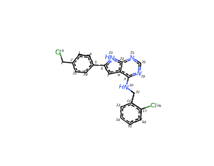 ClCc1ccc(-c2cc3c(NCc4ccccc4Cl)ncnc3[nH]2)cc1